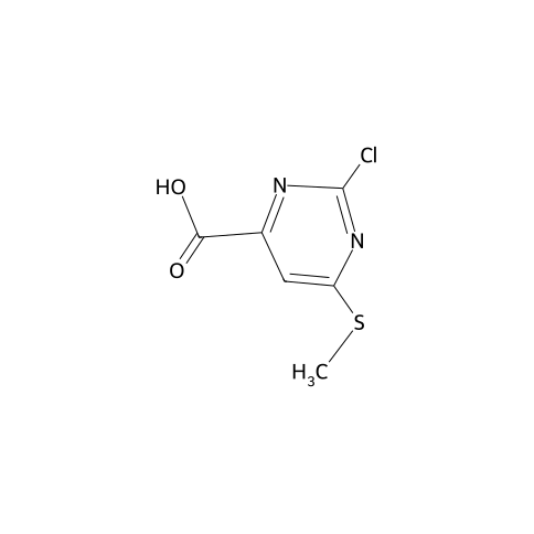 CSc1cc(C(=O)O)nc(Cl)n1